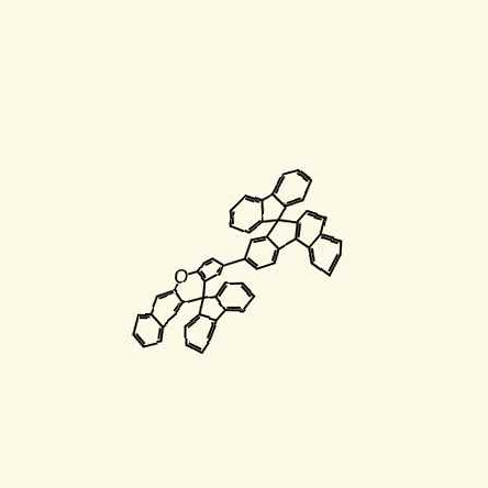 c1ccc2c(c1)-c1ccccc1C21c2cc(-c3ccc4c(c3)C3(c5ccccc5-c5ccccc53)c3ccc5ccccc5c3-4)ccc2Oc2cc3ccccc3cc21